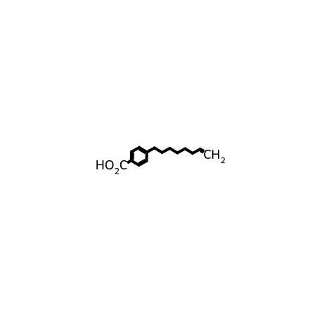 C=CCCCCCCc1ccc(C(=O)O)cc1